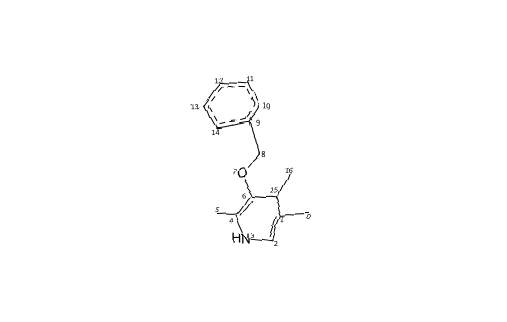 CC1=CNC(C)=C(OCc2ccccc2)C1C